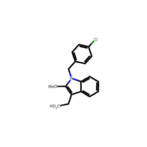 COc1c(CC(=O)O)c2ccccc2n1Cc1ccc(Cl)cc1